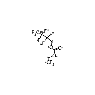 O=C(OCC(F)(F)F)OCC(F)(F)C(F)(F)C(F)(F)F